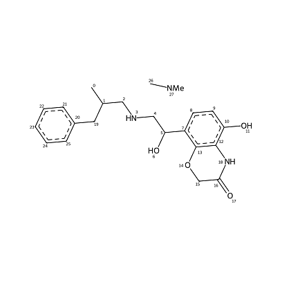 CC(CNCC(O)c1ccc(O)c2c1OCC(=O)N2)Cc1ccccc1.CNC